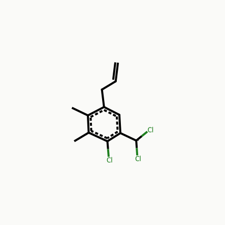 C=CCc1cc([C](Cl)Cl)c(Cl)c(C)c1C